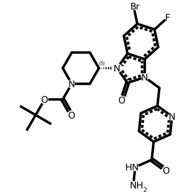 CC(C)(C)OC(=O)N1CCC[C@H](n2c(=O)n(Cc3ccc(C(=O)NN)cn3)c3cc(F)c(Br)cc32)C1